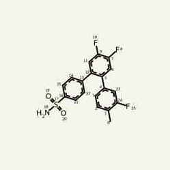 Cc1ccc(-c2cc(F)c(F)cc2-c2ccc(S(N)(=O)=O)cc2)cc1F